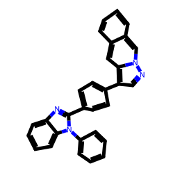 c1ccc(-n2c(-c3ccc(-c4cnn5cc6ccccc6cc45)cc3)nc3ccccc32)cc1